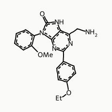 CCOc1ccc(-c2nc(CN)c3[nH]c(=O)n(-c4ccccc4OC)c3n2)cc1